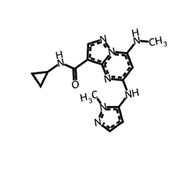 CNc1cc(Nc2ccnn2C)nc2c(C(=O)NC3CC3)cnn12